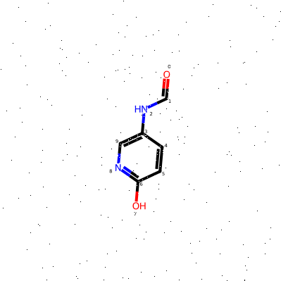 O=CNc1ccc(O)nc1